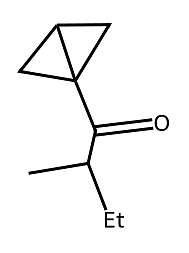 CCC(C)C(=O)C12CC1C2